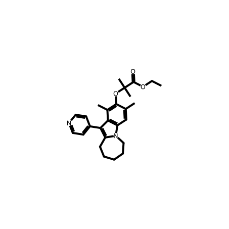 CCOC(=O)C(C)(C)Oc1c(C)cc2c(c1C)c(-c1ccncc1)c1n2CCCCC1